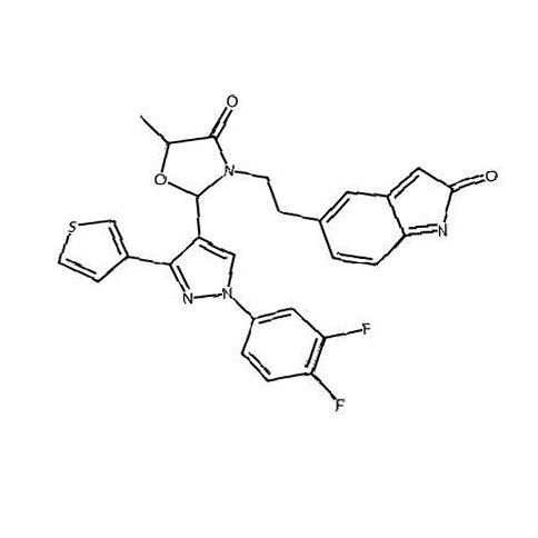 CC1OC(c2cn(-c3ccc(F)c(F)c3)nc2-c2ccsc2)N(CCc2ccc3c(c2)=CC(=O)N=3)C1=O